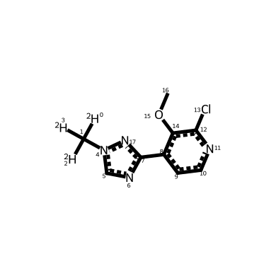 [2H]C([2H])([2H])n1cnc(-c2ccnc(Cl)c2OC)n1